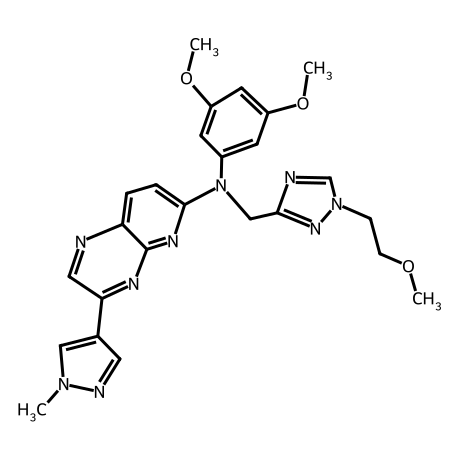 COCCn1cnc(CN(c2cc(OC)cc(OC)c2)c2ccc3ncc(-c4cnn(C)c4)nc3n2)n1